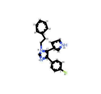 Fc1ccc(-c2ncn(CCc3ccccc3)c2-c2cc[nH]c2)cc1